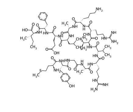 CC[C@H](C)[C@H](NC(=O)[C@H](Cc1ccccc1)NC(=O)[C@H](CCC(=O)O)NC(=O)[C@H](CC(C)C)NC(=O)[C@H](C)NC(=O)[C@H](CCCCN)NC(=O)[C@H](CCCNC(=N)N)NC(=O)[C@@H](NC(=O)[C@@H](NC(=O)[C@H](CCCNC(=N)N)NC(=O)[C@H](C)NC(=O)CNC(=O)[C@H](Cc1ccc(O)cc1)NC(=O)[C@@H](N)CCSC)C(C)C)[C@@H](C)CC)C(=O)O